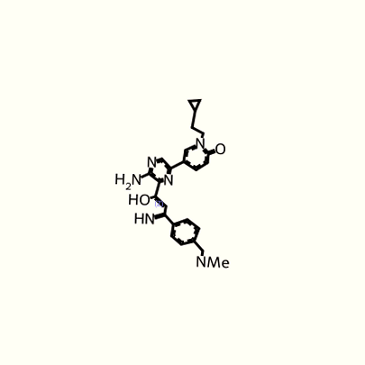 CNCc1ccc(C(=N)/C=C(\O)c2nc(-c3ccc(=O)n(CCC4CC4)c3)cnc2N)cc1